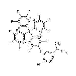 CC(C)c1ccc([IH+])cc1.Fc1c(F)c(F)c([B-](c2c(F)c(F)c(F)c(F)c2F)(c2c(F)c(F)c(F)c(F)c2F)c2c(F)c(F)c(F)c(F)c2F)c(F)c1F